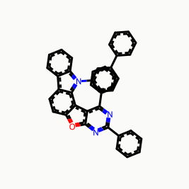 c1ccc(-c2cccc(-n3c4ccccc4c4ccc5oc6nc(-c7ccccc7)nc(-c7ccccc7)c6c5c43)c2)cc1